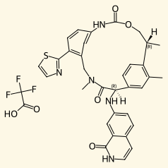 Cc1cc2ccc1[C@@H](C)COC(=O)Nc1ccc(-c3nccs3)c(c1)CN(C)C(=O)[C@@H]2Nc1ccc2cc[nH]c(=O)c2c1.O=C(O)C(F)(F)F